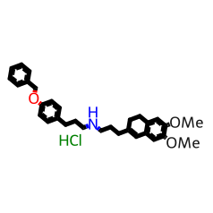 COc1cc2c(cc1OC)CCC(CCCNCCCc1ccc(OCc3ccccc3)cc1)=C2.Cl